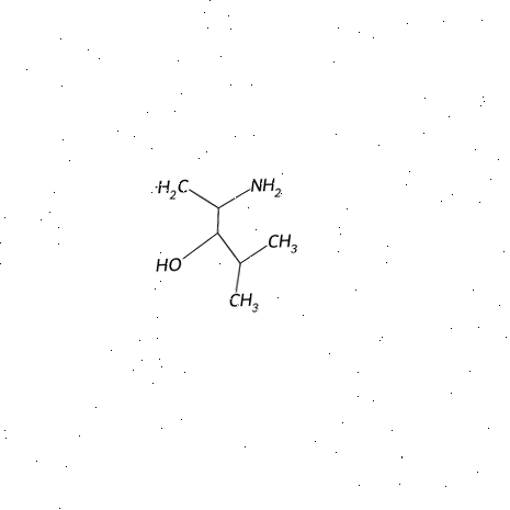 [CH2]C(N)C(O)C(C)C